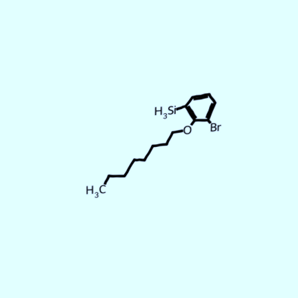 CCCCCCCCOc1c([SiH3])cccc1Br